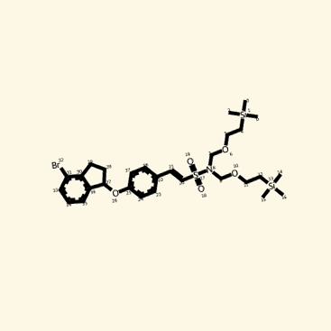 C[Si](C)(C)CCOCN(COCC[Si](C)(C)C)S(=O)(=O)C=Cc1ccc(OC2CCc3c(Br)cccc32)cc1